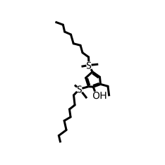 CCCCCCCCS(C)(C)c1cc(CC)c(O)c(S(C)(C)CCCCCCCC)c1